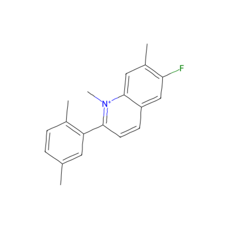 Cc1ccc(C)c(-c2ccc3cc(F)c(C)cc3[n+]2C)c1